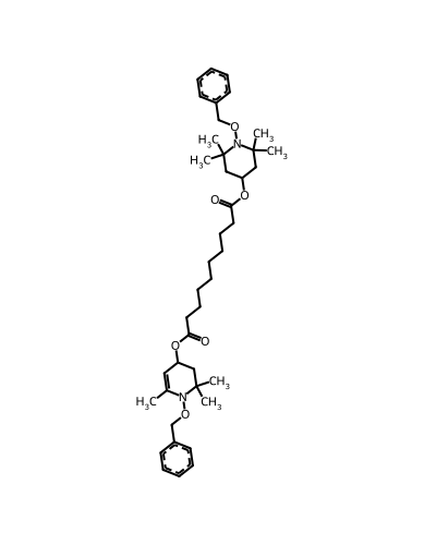 CC1=CC(OC(=O)CCCCCCCCC(=O)OC2CC(C)(C)N(OCc3ccccc3)C(C)(C)C2)CC(C)(C)N1OCc1ccccc1